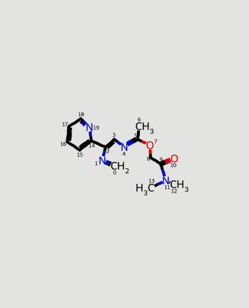 C=N/C(=C\N=C(/C)OCC(=O)N(C)C)c1ccccn1